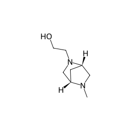 CN1C[C@@H]2C[C@H]1CN2CCO